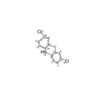 Clc1ccc2c(c1)Cc1cc(Cl)ccc1N2